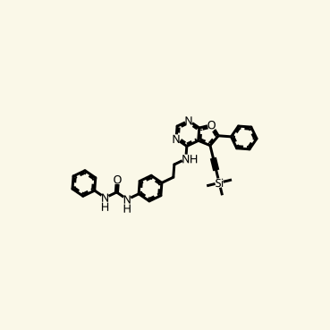 C[Si](C)(C)C#Cc1c(-c2ccccc2)oc2ncnc(NCCc3ccc(NC(=O)Nc4ccccc4)cc3)c12